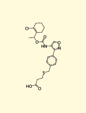 CC(OC(=O)Nc1conc1-c1ccc(CSCCC(=O)O)cc1)C1=C(Cl)CCCC1